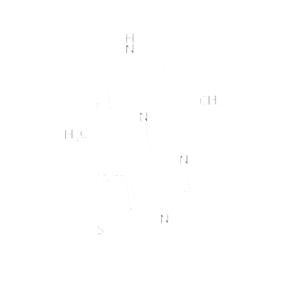 C[C@@H]1CNC[C@H](C)N1c1ncnc2sccc12